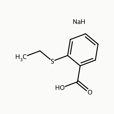 CCSc1ccccc1C(=O)O.[NaH]